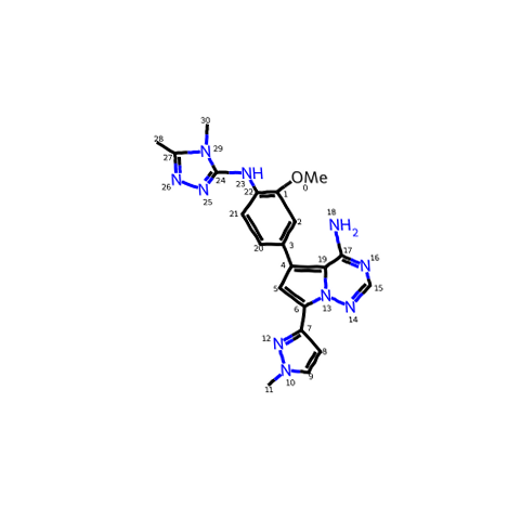 COc1cc(-c2cc(-c3ccn(C)n3)n3ncnc(N)c23)ccc1Nc1nnc(C)n1C